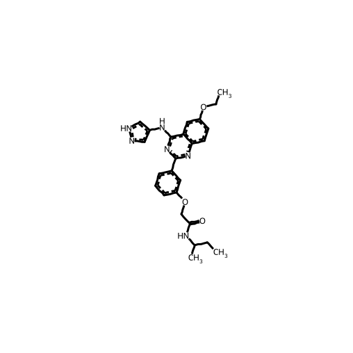 CCOc1ccc2nc(-c3cccc(OCC(=O)NC(C)CC)c3)nc(Nc3cn[nH]c3)c2c1